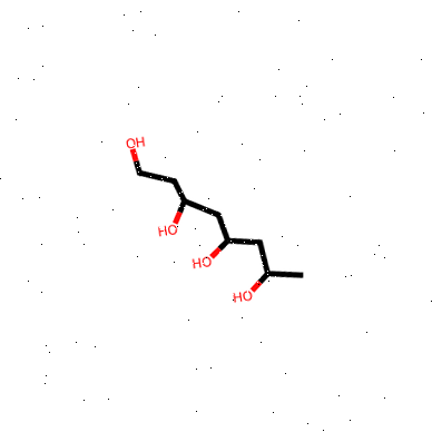 CC(O)CC(O)CC(O)CCO